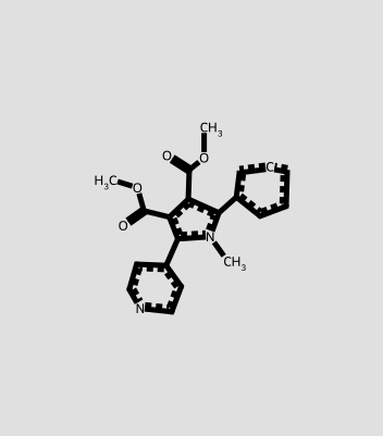 COC(=O)c1c(C(=O)OC)c(-c2ccncc2)n(C)c1-c1ccccc1